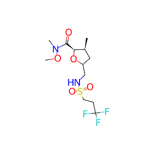 CON(C)C(=O)[C@@H]1OC(CNS(=O)(=O)CCC(F)(F)F)C[C@@H]1C